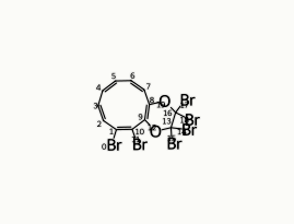 Brc1ccccccc2c(c1Br)OC(Br)(Br)C(Br)(Br)O2